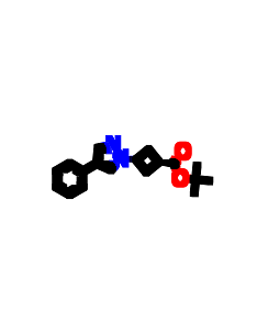 CC(C)(C)OC(=O)[C@H]1C[C@H](n2cc(-c3ccccc3)cn2)C1